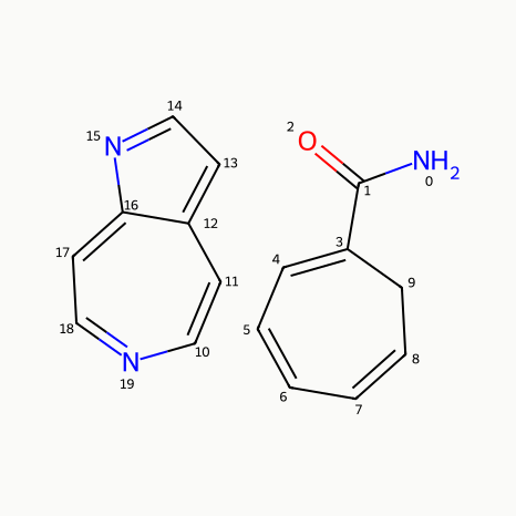 NC(=O)C1=CC=CC=CC1.c1cc2ccnc-2ccn1